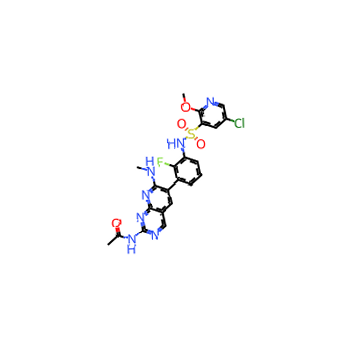 CNc1nc2nc(NC(C)=O)ncc2cc1-c1cccc(NS(=O)(=O)c2cc(Cl)cnc2OC)c1F